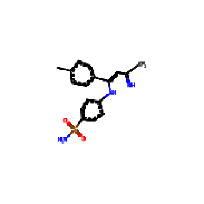 Cc1ccc(/C(=C/C(=N)C(F)(F)F)Nc2ccc(S(N)(=O)=O)cc2)cc1